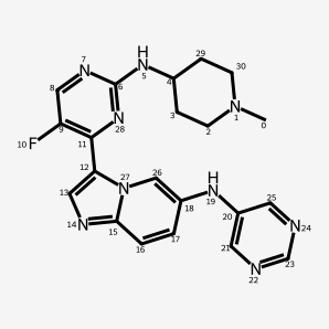 CN1CCC(Nc2ncc(F)c(-c3cnc4ccc(Nc5cncnc5)cn34)n2)CC1